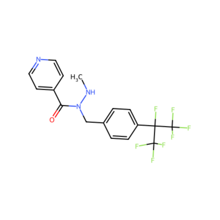 CNN(Cc1ccc(C(F)(C(F)(F)F)C(F)(F)F)cc1)C(=O)c1ccncc1